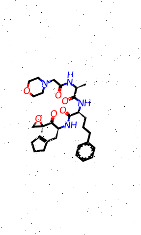 C[C@H](NC(=O)CN1CCOCC1)C(=O)N[C@@H](CCCc1ccccc1)C(=O)N[C@@H](CC1=CCCC1)C(=O)[C@@]1(C)CO1